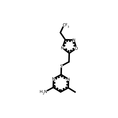 Cc1cc(N)nc(SCc2nc(CC(F)(F)F)no2)n1